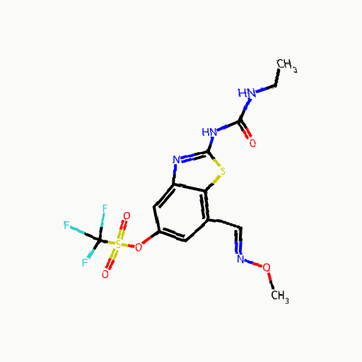 CCNC(=O)Nc1nc2cc(OS(=O)(=O)C(F)(F)F)cc(C=NOC)c2s1